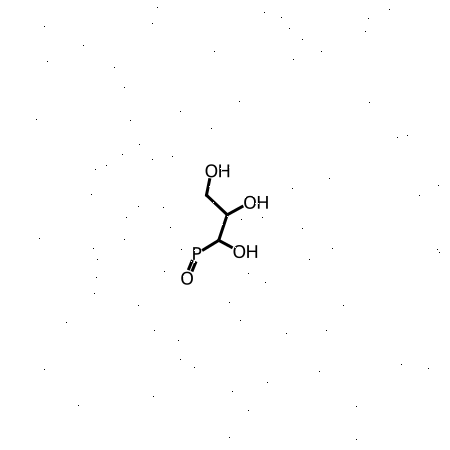 O=PC(O)C(O)CO